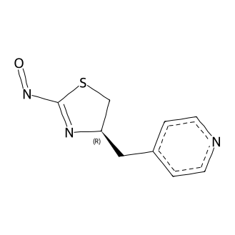 O=NC1=N[C@H](Cc2ccncc2)CS1